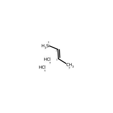 CC=C[SiH3].Cl.Cl